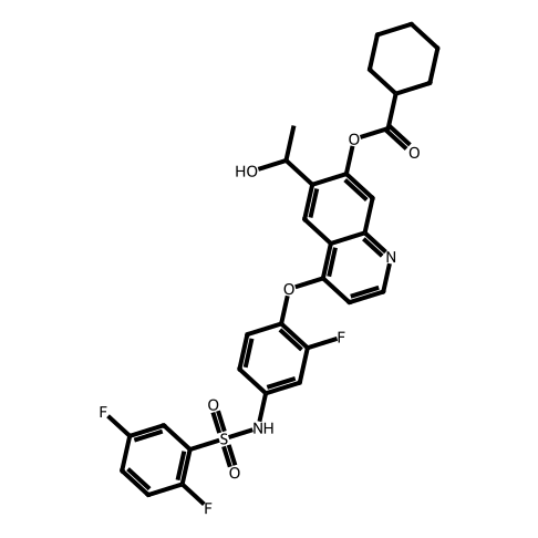 CC(O)c1cc2c(Oc3ccc(NS(=O)(=O)c4cc(F)ccc4F)cc3F)ccnc2cc1OC(=O)C1CCCCC1